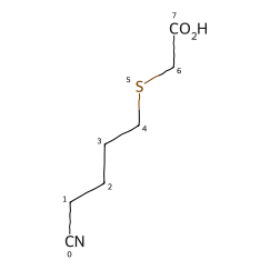 N#CCCCCSCC(=O)O